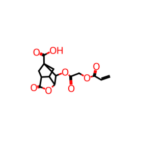 C=CC(=O)OCC(=O)OC1C2OC(=O)C3CC1(C(=O)O)CC32